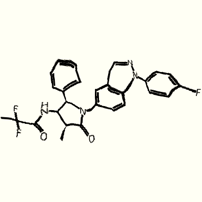 C[C@@H]1C(=O)N(c2ccc3c(cnn3-c3ccc(F)cc3)c2)[C@H](c2ccccc2)C1NC(=O)C(C)(F)F